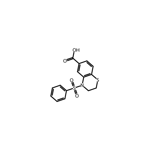 O=C(O)c1ccc2c(c1)N(S(=O)(=O)c1ccccc1)CCS2